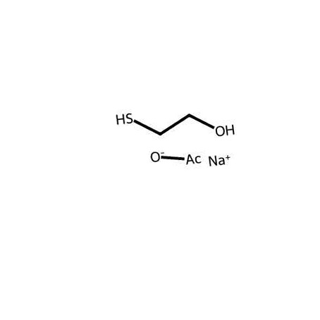 CC(=O)[O-].OCCS.[Na+]